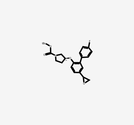 CC(C)(C)OC(=O)N1CC[C@H](Oc2ccc(C3CO3)cc2-c2ccc(F)cc2)C1